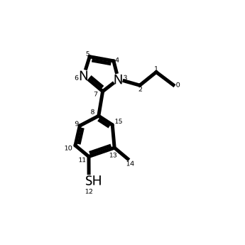 CCCn1ccnc1-c1ccc(S)c(C)c1